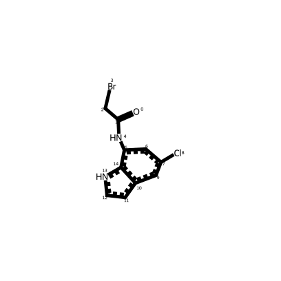 O=C(CBr)Nc1cc(Cl)cc2cc[nH]c12